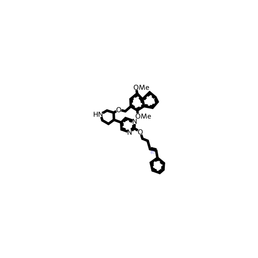 COc1cc(COC2CNCCC2c2cnc(OCC/C=C/c3ccccc3)nc2)c(OC)c2ccccc12